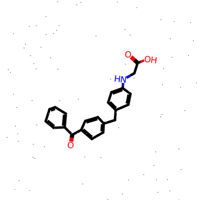 O=C(O)CNc1ccc(Cc2ccc(C(=O)c3ccccc3)cc2)cc1